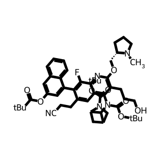 CN1CCC[C@H]1COc1nc2c(F)c(-c3cc(OC(=O)C(C)(C)C)cc4ccccc34)c(CCC#N)cc2c(N(C(=O)OC(C)(C)C)C2C3CC2N(C(=O)OC(C)(C)C)C3)c1CCCO